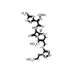 CO/N=C(/C(=O)NC1C(=O)N2C(C(=O)O)=C(CSc3nnnn3CCC(=O)O)CS[C@H]12)c1nsc(N)n1